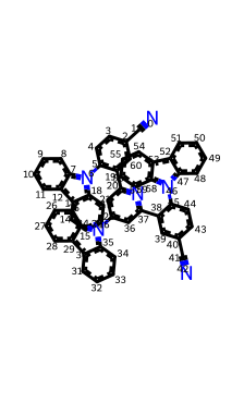 N#Cc1ccc(-n2c3ccccc3c3ccccc32)c(-c2cc(-n3c4ccccc4c4ccccc43)cc(-c3cc(C#N)ccc3-n3c4ccccc4c4ccccc43)n2)c1